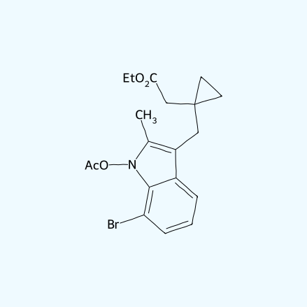 CCOC(=O)CC1(Cc2c(C)n(OC(C)=O)c3c(Br)cccc23)CC1